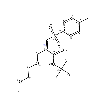 COCCOC/C(=C/S(=O)(=O)c1ccc(C)cc1)C(=O)OC(C)(C)C